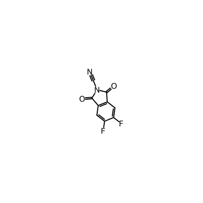 N#CN1C(=O)c2cc(F)c(F)cc2C1=O